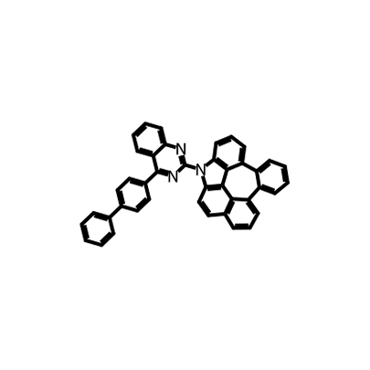 c1ccc(-c2ccc(-c3nc(-n4c5cccc6c5c5c7c(cccc7ccc54)-c4ccccc4-6)nc4ccccc34)cc2)cc1